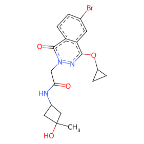 CC1(O)CC(NC(=O)Cn2nc(OC3CC3)c3cc(Br)ccc3c2=O)C1